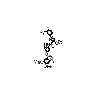 C=Nc1cc(OC)c(OC)cc1/C(=C\C)Oc1ccc(NC(=O)c2nn(-c3ccc(F)c(CN(C)C)c3)cc2OCC)nc1